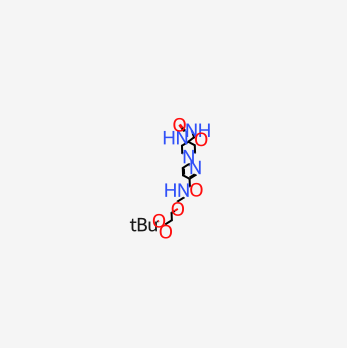 CC(C)(C)OC(=O)CCOCCNC(=O)c1ccc(N2CCC3(CC2)NC(=O)NC3=O)nc1